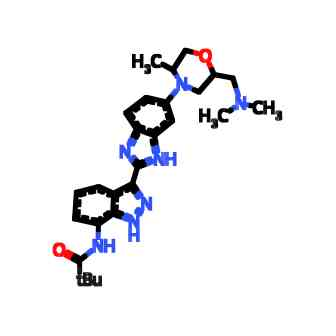 CC1COC(CN(C)C)CN1c1ccc2nc(-c3n[nH]c4c(NC(=O)C(C)(C)C)cccc34)[nH]c2c1